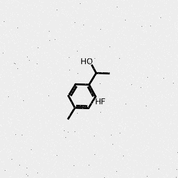 Cc1ccc(C(C)O)cc1.F